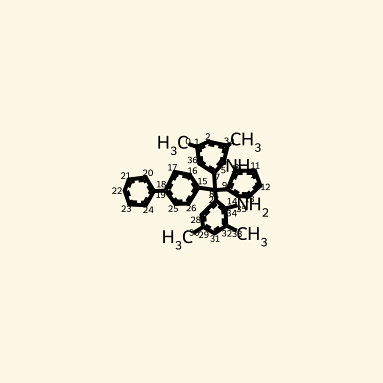 Cc1cc(C)c(N)c(C(c2ccccc2)(c2ccc(-c3ccccc3)cc2)c2cc(C)cc(C)c2N)c1